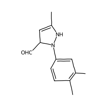 CC1=CC(C=O)N(c2ccc(C)c(C)c2)N1